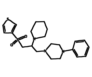 O=S(=O)(CC(CN1CCN(c2ccccc2)CC1)N1CCCCC1)c1ccsc1